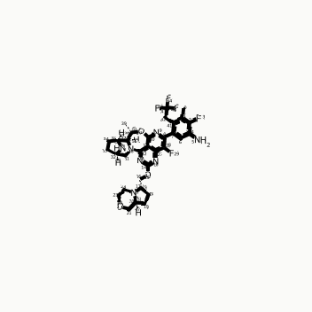 Cc1c(F)c(N)cc(-c2nc3c4c(nc(OC[C@@H]5CC[C@H]6COCCN65)nc4c2F)N2C[C@H]4CC[C@H](N4)[C@H]2[C@H](C)O3)c1CC(F)(F)F